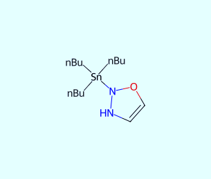 CCC[CH2][Sn]([CH2]CCC)([CH2]CCC)[N]1NC=CO1